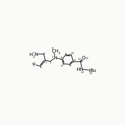 CN(C/C(=C/F)CN)c1ccc(C(=O)NC(C)(C)C)cc1